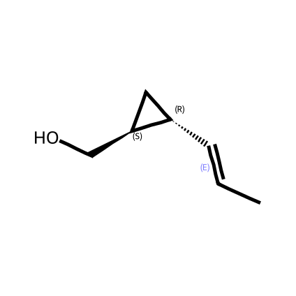 C/C=C/[C@H]1C[C@@H]1CO